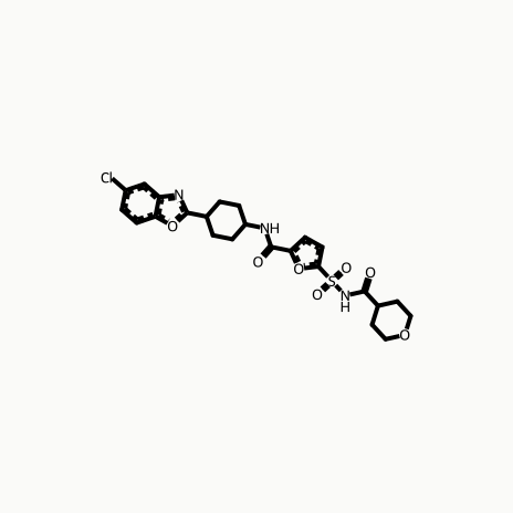 O=C(NC1CCC(c2nc3cc(Cl)ccc3o2)CC1)c1ccc(S(=O)(=O)NC(=O)C2CCOCC2)o1